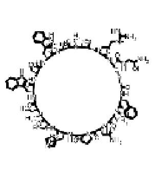 CCCC[C@H]1C(=O)N(C)[C@@H](CCCC)C(=O)N[C@@H](CCCNC(=N)N)C(=O)N[C@H](C(=O)NCC(N)O)CSCC(=O)N[C@@H](Cc2ccccc2)C(=O)N(C)[C@@H](C)C(=O)N[C@@H](CC(N)=O)C(=O)N2CCC[C@H]2C(=O)N[C@@H](Cc2cnc[nH]2)C(=O)N[C@@H](CC(C)C)C(=O)N(C)[C@@H](CO)C(=O)N[C@@H](Cc2c[nH]c3ccccc23)C(=O)N[C@@H](CO)C(=O)N[C@@H](Cc2c[nH]c3ccccc23)C(=O)N1C